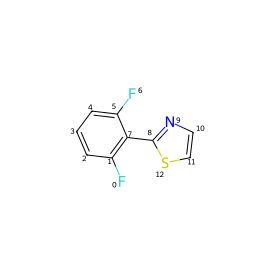 Fc1cccc(F)c1-c1nccs1